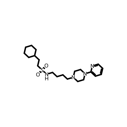 O=S(=O)(CCC1CCCCC1)NCCCCN1CCN(c2ccccn2)CC1